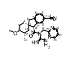 CO[C@H]1CC[C@@]2(Cc3ccc(C#N)cc3[C@H]2C(=O)N(Cc2ncccn2)C(=N)N)C[C@@H]1C